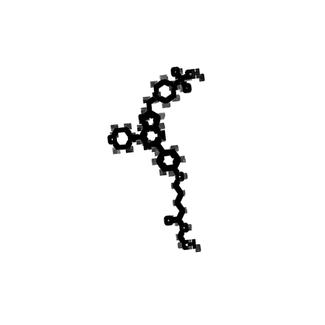 CCOC(=O)CCCCOc1ccc(-c2nc(N3CCOCC3)c3sc(CN4CCN(S(C)(=O)=O)CC4)cc3n2)cc1